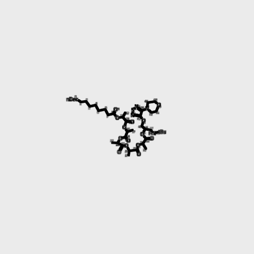 CCCCCCCCCCCCCCCCCC(=O)OC(C)C(=O)OC(C)C(=O)OC(C)C(=O)OC(C)C(=O)OC(C)C(=O)OC(CNC(C)(C)C)COc1nsnc1N1CCOCC1